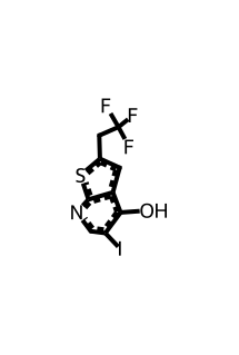 Oc1c(I)cnc2sc(CC(F)(F)F)cc12